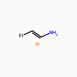 CCC=CN.[P]